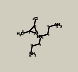 CC1OC1Cl.NCCNCCN